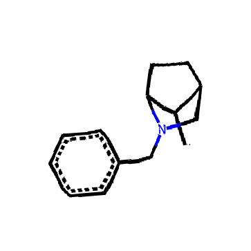 [CH2]C1C2CCC1N(Cc1ccccc1)C2